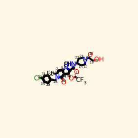 CCc1cc2c(c(OCC(F)(F)F)c(C(=O)NC3CCN(C(=O)CO)CC3)n2C)c(=O)n1Cc1ccc(Cl)cc1